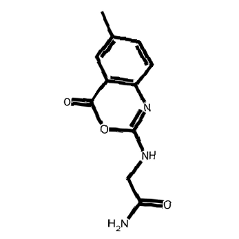 Cc1ccc2nc(NCC(N)=O)oc(=O)c2c1